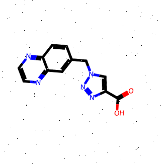 O=C(O)c1cn(Cc2ccc3nccnc3c2)nn1